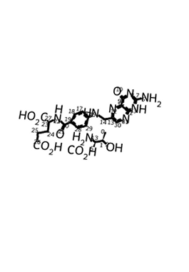 C[C@@H](O)[C@H](N)C(=O)O.Nc1nc(=O)c2nc(CNc3ccc(C(=O)N[C@@H](CCC(=O)O)C(=O)O)cc3)cnc2[nH]1